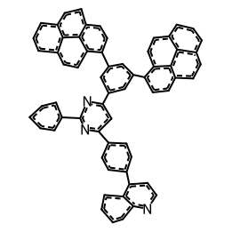 c1ccc(-c2nc(-c3ccc(-c4ccnc5ccccc45)cc3)cc(-c3cc(-c4ccc5ccc6cccc7ccc4c5c67)cc(-c4ccc5ccc6cccc7ccc4c5c67)c3)n2)cc1